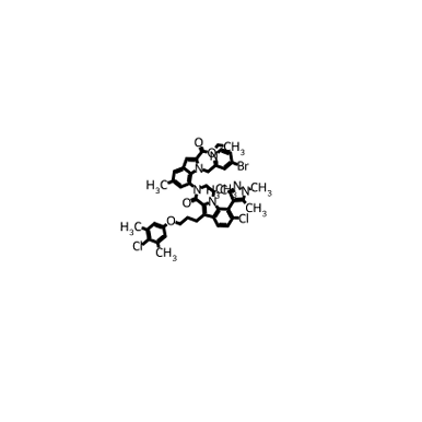 CCOC(=O)c1cc2cc(C)cc(N3C[C@@H](C)n4c(c(CCCOc5cc(C)c(Cl)c(C)c5)c5ccc(Cl)c(-c6c(C)nn(C)c6C)c54)C3=O)c2n1Cc1cc(Br)ccn1